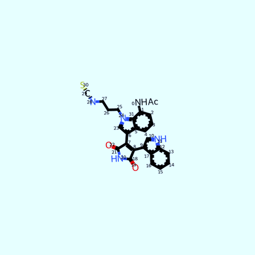 CC(=O)Nc1cccc2c(C3=C(c4c[nH]c5ccccc45)C(=O)NC3=O)cn(CCCN=C=S)c12